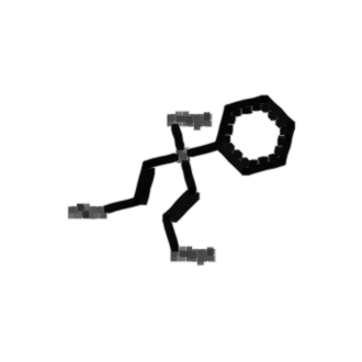 CCCCCCCC=C[Si](C=CCCCCCCCCC)(CCCCCCC)c1ccccc1